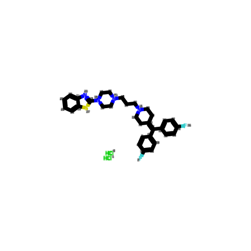 Cl.Cl.Fc1ccc(C(=C2CCN(CCCN3CCN(c4nc5ccccc5s4)CC3)CC2)c2ccc(F)cc2)cc1